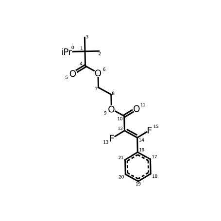 CC(C)C(C)(C)C(=O)OCCOC(=O)/C(F)=C(\F)c1ccccc1